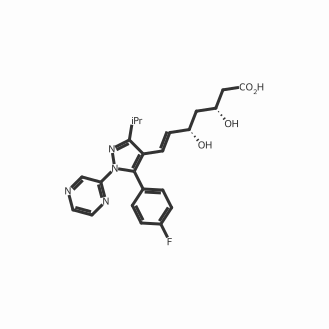 CC(C)c1nn(-c2cnccn2)c(-c2ccc(F)cc2)c1C=C[C@@H](O)C[C@@H](O)CC(=O)O